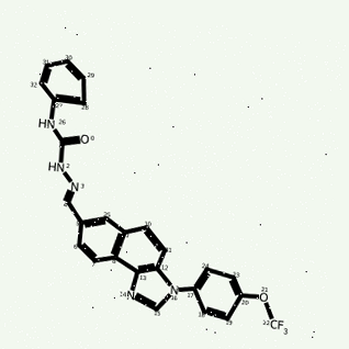 O=C(NN=Cc1ccc2c(ccc3c2ncn3-c2ccc(OC(F)(F)F)cc2)c1)Nc1ccccc1